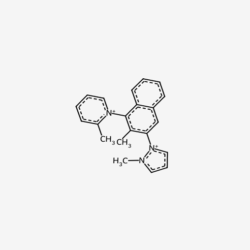 Cc1c(-[n+]2cccn2C)cc2ccccc2c1-[n+]1ccccc1C